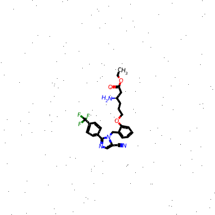 CCOC(=O)C[C@H](N)CCCOc1ccccc1Cn1c(C#N)cnc1-c1ccc(C(F)(F)F)cc1